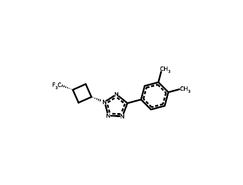 Cc1ccc(-c2nnn([C@H]3C[C@@H](C(F)(F)F)C3)n2)cc1C